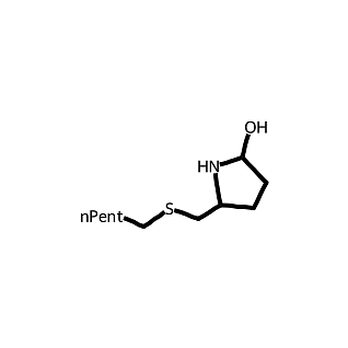 CCCCCCSCC1CCC(O)N1